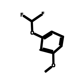 COc1[c]c(OC(F)F)ccc1